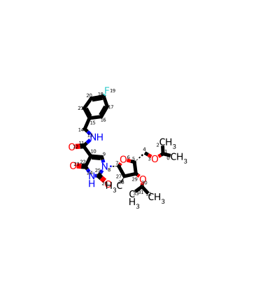 CC(C)OC[C@H]1O[C@@H](n2cc(C(=O)NCc3ccc(F)cc3)c(=O)[nH]c2=O)[C@@H](C)C1OC(C)C